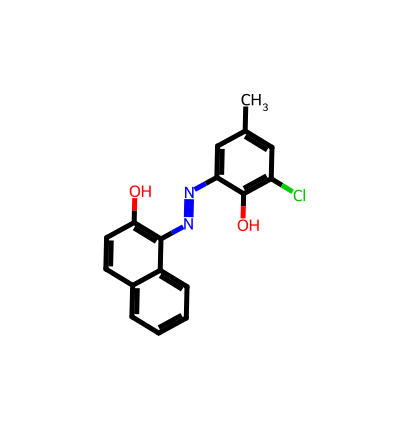 Cc1cc(Cl)c(O)c(/N=N/c2c(O)ccc3ccccc23)c1